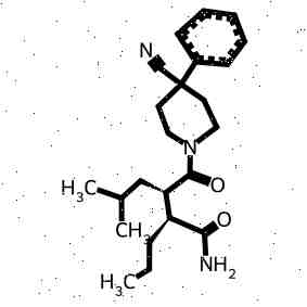 CCC[C@H](C(N)=O)[C@@H](CC(C)C)C(=O)N1CCC(C#N)(c2ccccc2)CC1